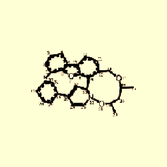 Cc1cccc2c1oc1c3c(ccc12)COC(C)CC(C)ON1C=CC(c2ccccc2)=CC31